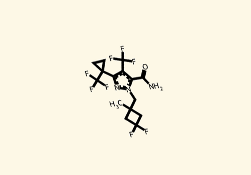 CC1(Cn2nc(C3(C(F)(F)F)CC3)c(C(F)(F)F)c2C(N)=O)CC(F)(F)C1